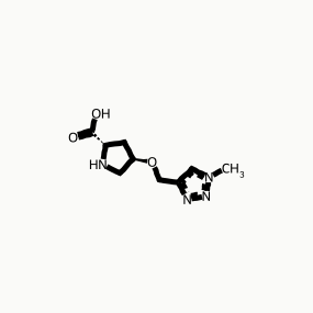 Cn1cc(CO[C@H]2CN[C@H](C(=O)O)C2)nn1